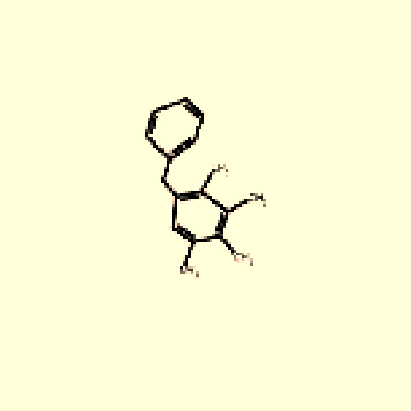 Cc1c(N)cc(Cc2ccccc2)c(C)c1C